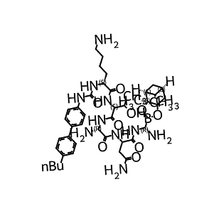 CCCCc1ccc(-c2ccc(NC(=O)N[C@@H](CCCCN)C(=O)N[C@H](C(=O)N[C@@H](N)C(=O)NC(CC(N)=O)C(=O)N[C@@H](N)B3OC4C[C@@H]5C[C@@H](C5(C)C)[C@]4(C)O3)C(C)O)cc2)cc1